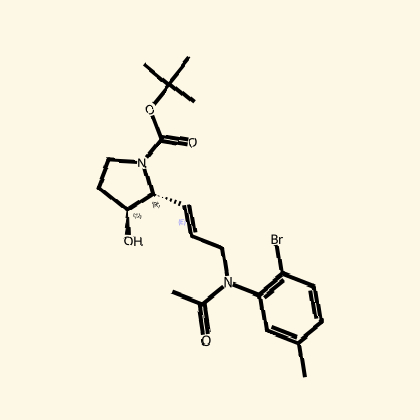 CC(=O)N(C/C=C/[C@@H]1[C@@H](O)CCN1C(=O)OC(C)(C)C)c1cc(C)ccc1Br